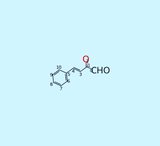 O=CC(=O)C=Cc1ccccc1